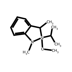 CO[Si]1(C(C)C)C(C)c2ccccc2N1C